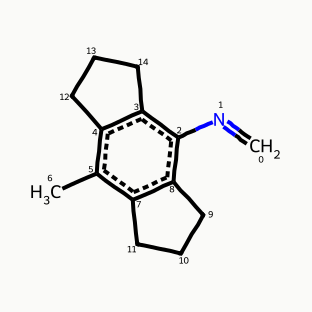 C=Nc1c2c(c(C)c3c1CCC3)CCC2